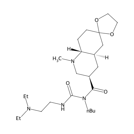 CCCCN(C(=O)NCCN(CC)CC)C(=O)[C@@H]1C[C@@H]2CC3(CC[C@H]2N(C)C1)OCCO3